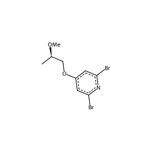 CO[C@H](C)COc1cc(Br)nc(Br)c1